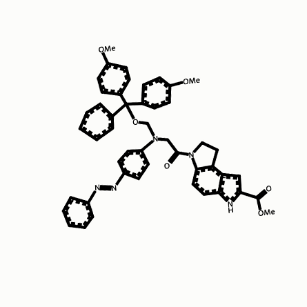 COC(=O)c1cc2c3c(ccc2[nH]1)N(C(=O)CN(COC(c1ccccc1)(c1ccc(OC)cc1)c1ccc(OC)cc1)c1ccc(N=Nc2ccccc2)cc1)CC3